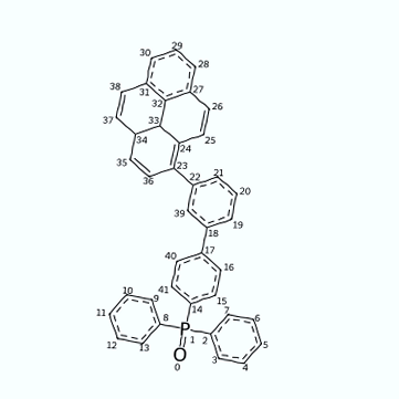 O=P(c1ccccc1)(c1ccccc1)c1ccc(-c2cccc(C3=C4C=Cc5cccc6c5C4C(C=C3)C=C6)c2)cc1